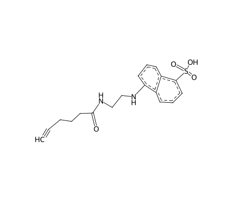 C#CCCCC(=O)NCCNc1cccc2c(S(=O)(=O)O)cccc12